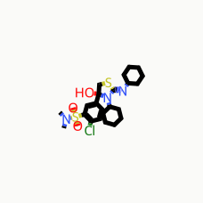 CN(C)S(=O)(=O)c1cc(C2(O)CS/C(=N\C3CCCCC3)N2C2CCCCC2)ccc1Cl